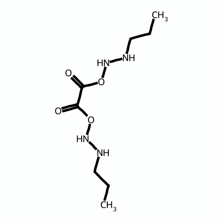 CCCNNOC(=O)C(=O)ONNCCC